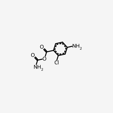 NC(=O)OC(=O)c1ccc(N)cc1Cl